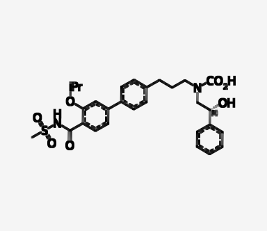 CC(C)Oc1cc(-c2ccc(CCCN(C[C@H](O)c3ccccc3)C(=O)O)cc2)ccc1C(=O)NS(C)(=O)=O